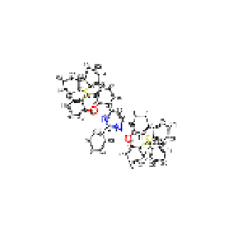 c1ccc(-c2nc(-c3cccc4c3Oc3ccccc3S4(c3ccccc3)c3ccccc3)cc(-c3cccc4c3Oc3ccccc3S4(c3ccccc3)c3ccccc3)n2)cc1